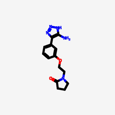 Nc1[nH]nnc1-c1cccc(OCCN2CCCC2=O)c1